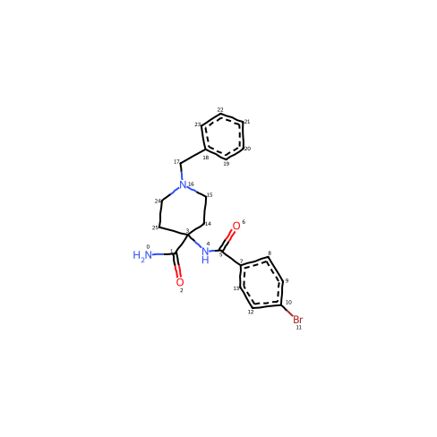 NC(=O)C1(NC(=O)c2ccc(Br)cc2)CCN(Cc2ccccc2)CC1